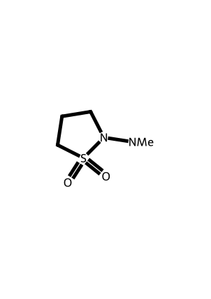 CNN1CCCS1(=O)=O